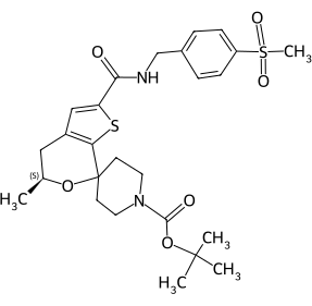 C[C@H]1Cc2cc(C(=O)NCc3ccc(S(C)(=O)=O)cc3)sc2C2(CCN(C(=O)OC(C)(C)C)CC2)O1